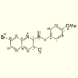 COc1ccc(CNc2nc3cc(Br)ccc3cc2Cl)cc1